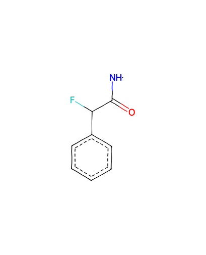 [NH]C(=O)C(F)c1ccccc1